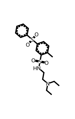 CCN(CC)CCNS(=O)(=O)c1cc(S(=O)(=O)c2ccccc2)ccc1C